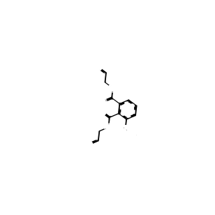 C=CCOC(=O)c1cccc(N)c1C(=O)OCC=C